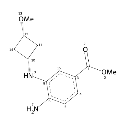 COC(=O)c1ccc(N)c(N[C@H]2C[C@@H](OC)C2)c1